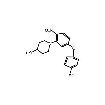 CCCC1CCN(c2cc(Oc3ccc(C(C)=O)cc3)ccc2[N+](=O)[O-])CC1